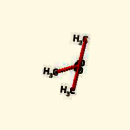 CCCCCC=CCC=CCC=CCC=CCCCC(=O)OCC(COC(=O)CCCCCCCCCCCCCCCCC)OC(=O)CCCCCCCC=CCCCCCCCC